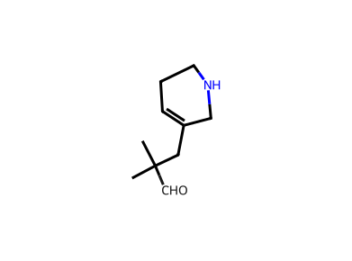 CC(C)(C=O)CC1=CCCNC1